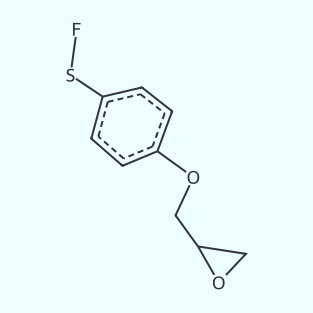 FSc1ccc(OCC2CO2)cc1